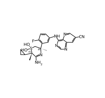 C[C@@]1(c2cc(Nc3ncnc4cc(C#N)cnc34)ccc2F)CS(O)(O)[C@@](C)(C2CC2)C(N)=N1